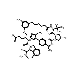 Cc1cc(CCCCCC(=O)N[C@H](C(=O)N2C[C@H](O)C[C@H]2C(=O)N[C@@H](C)c2ccc(-c3scnc3C)cc2)C(C)(C)C)cc(OC[C@H](CCC(N)=O)NC(=O)[C@@H]2Cc3cccc4c3N2C(O)[C@@H](N)CC4)c1